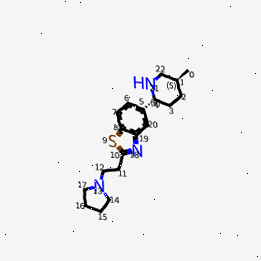 C[C@H]1CC[C@H](c2ccc3sc(CCN4CCCC4)nc3c2)NC1